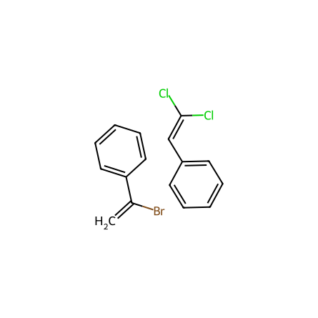 C=C(Br)c1ccccc1.ClC(Cl)=Cc1ccccc1